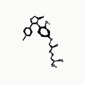 Cc1cc(OCC(=O)OCCN(C)C)ccc1N1C(=O)CSC1c1ccc(F)cc1